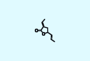 CC=CC1CC(=CC)C(=O)O1